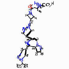 CCC(CC)n1cc(-c2nc(-c3cnn(C4CN(C(=O)CNC(=O)O)C4)c3)cn3nccc23)cn1